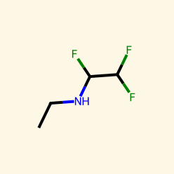 CCNC(F)C(F)F